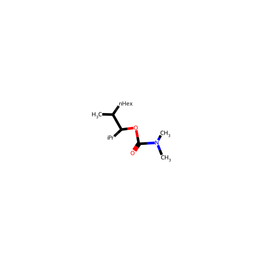 CCCCCCC(C)C(OC(=O)N(C)C)C(C)C